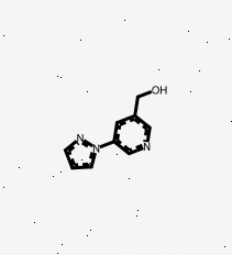 OCc1cncc(-n2cccn2)c1